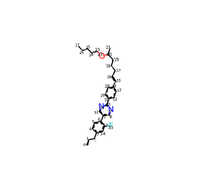 C=CCc1ccc(-c2cnc(-c3ccc(/C=C/CCCC(C)OCCCCC)cc3)nc2)c(F)c1